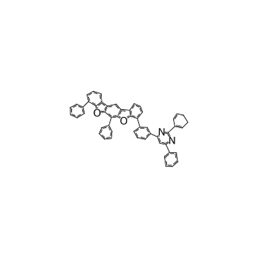 C1=CC(c2nc(-c3ccccc3)cc(-c3cccc(-c4cccc5c4oc4c(-c6ccccc6)c6oc7c(-c8ccccc8)cccc7c6cc45)c3)n2)=CCC1